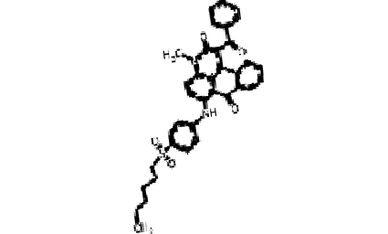 CCCCCCS(=O)(=O)c1ccc(Nc2ccc3c4c2C(=O)c2ccccc2-c4c(C(=O)c2ccccc2)c(=O)n3C)cc1